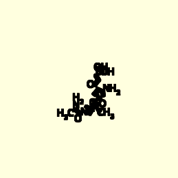 C[C@H](N)C(=O)N1CC(N(C)S(=O)(=O)N2C[C@H](C(=O)CCB(O)O)[C@@H](N)C2)C1